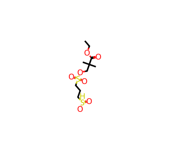 CCOC(=O)C(C)(C)COS(=O)(=O)CCC[SH](=O)=O